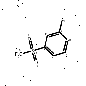 [CH2]c1cccc(S(=O)(=O)C(F)(F)F)c1